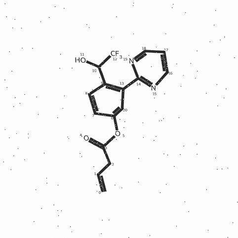 C=CCC(=O)Oc1ccc(C(O)C(F)(F)F)c(-c2ncccn2)c1